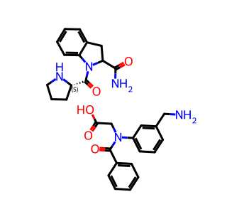 NC(=O)C1Cc2ccccc2N1C(=O)[C@@H]1CCCN1.NCc1cccc(N(CC(=O)O)C(=O)c2ccccc2)c1